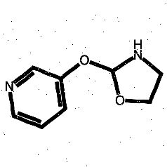 c1cncc(OC2NCCO2)c1